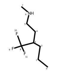 CCCC(CCNC)C(F)(F)F